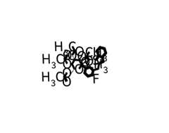 CO[C@@]1(c2ccc(F)c(Cc3cc4ccccc4s3)c2)O[C@H](COC(C)=O)[C@@H](OC(C)=O)[C@H](OC(C)=O)[C@H]1OC(C)=O